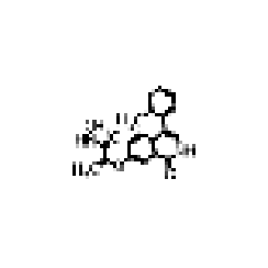 C=C(Oc1ccc2c(-c3ccccc3C)c[nH]c(=O)c2c1)C(=O)NC